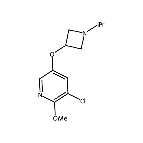 COc1ncc(OC2CN(C(C)C)C2)cc1Cl